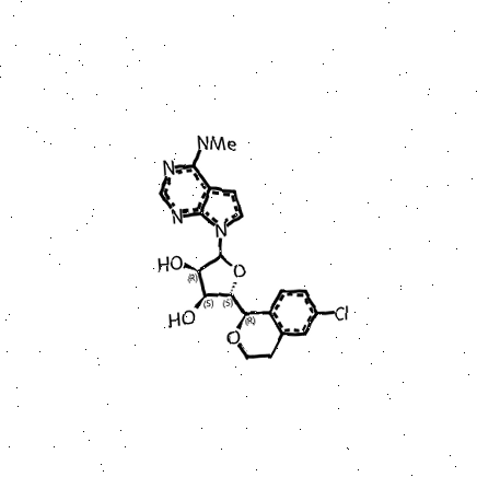 CNc1ncnc2c1ccn2C1O[C@H]([C@@H]2OCCc3cc(Cl)ccc32)[C@@H](O)[C@H]1O